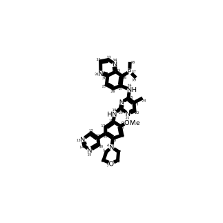 COc1cc(N2CCOCC2)c(-c2cncnc2)cc1Nc1ncc(C)c(Nc2ccc3nccnc3c2P(C)C)n1